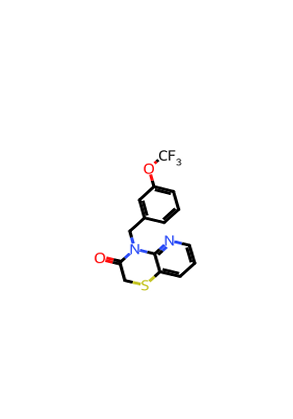 O=C1CSc2cccnc2N1Cc1cccc(OC(F)(F)F)c1